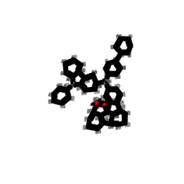 c1ccc(-c2ccc(N(c3ccc4c(c3)C35c6ccccc6-c6cccc(c63)-c3cccc-4c35)c3ccc4c(c3)c3ccccc3n4-c3ccccc3)cc2)cc1